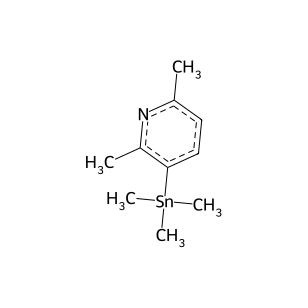 Cc1cc[c]([Sn]([CH3])([CH3])[CH3])c(C)n1